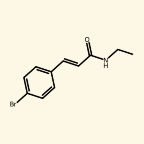 CCNC(=O)C=Cc1ccc(Br)cc1